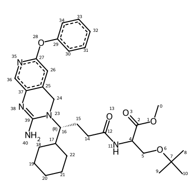 COC(=O)C(COC(C)(C)C)NC(=O)CC[C@H](C1CCCCC1)N1Cc2cc(Oc3ccccc3)ncc2N=C1N